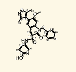 COc1cc2c(cc1-c1c(C)noc1C)cc(C(=O)Nc1ccc(O)nc1)c(=O)n2Cc1ccccn1